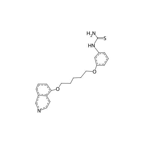 NC(=S)Nc1cccc(OCCCCCOc2cccc3cnccc23)c1